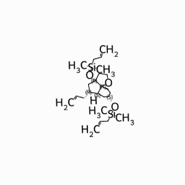 C=CC[C@@H]1C[C@@]2(O[Si](C)(C)CC=C)CCO[C@@]23CC[C@H](O[Si](C)(C)CC=C)C[C@@H]13